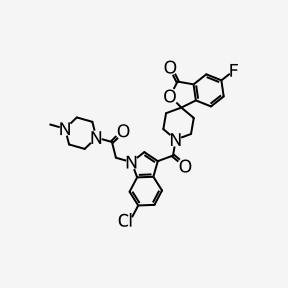 CN1CCN(C(=O)Cn2cc(C(=O)N3CCC4(CC3)OC(=O)c3cc(F)ccc34)c3ccc(Cl)cc32)CC1